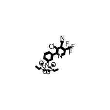 CCS(=O)(=O)N(c1cccc(-c2ncc(C(F)(F)F)c(C#N)c2Cl)c1)S(=O)(=O)CC